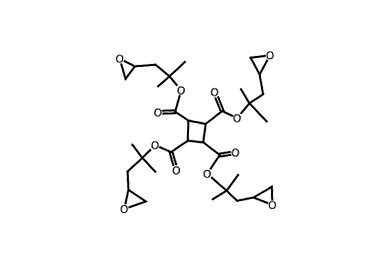 CC(C)(CC1CO1)OC(=O)C1C(C(=O)OC(C)(C)CC2CO2)C(C(=O)OC(C)(C)CC2CO2)C1C(=O)OC(C)(C)CC1CO1